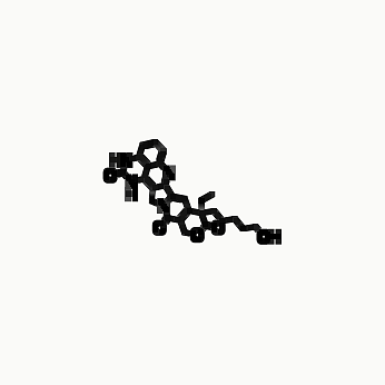 CC[C@@]1(CCCCCO)C(=O)OCc2c1cc1n(c2=O)Cc2c-1nc1cccc3c1c2NC(=O)N3